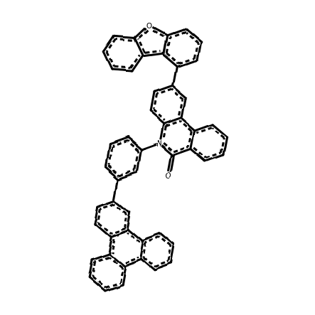 O=c1c2ccccc2c2cc(-c3cccc4oc5ccccc5c34)ccc2n1-c1cccc(-c2ccc3c4ccccc4c4ccccc4c3c2)c1